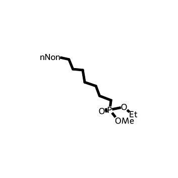 CCCCCCCCCCCCCCCCP(=O)(OC)OCC